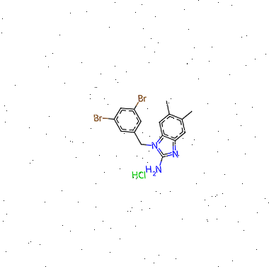 Cc1cc2nc(N)n(Cc3cc(Br)cc(Br)c3)c2cc1C.Cl